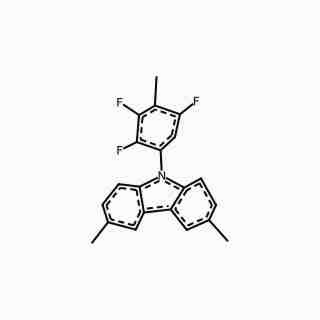 Cc1ccc2c(c1)c1cc(C)ccc1n2-c1cc(F)c(C)c(F)c1F